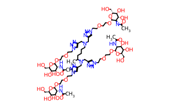 CC(=O)/N=C1/[C@H](OCCOCCn2cc(CN(CCCCC(C)N(Cc3cn(CCOCCO[C@@H]4O[C@H](CO)[C@H](O)[C@H](O)[C@H]4NC(C)=O)nn3)Cc3cn(CCOCCO[C@@H]4O[C@H](CO)[C@H](O)[C@H](O)[C@H]4NC(C)=O)nn3)Cc3cn(CCOCCO[C@@H]4O[C@H](CO)[C@H](O)[C@H](O)[C@H]4NC(C)=O)nn3)nn2)O[C@H](CO)[C@H](O)[C@@H]1O